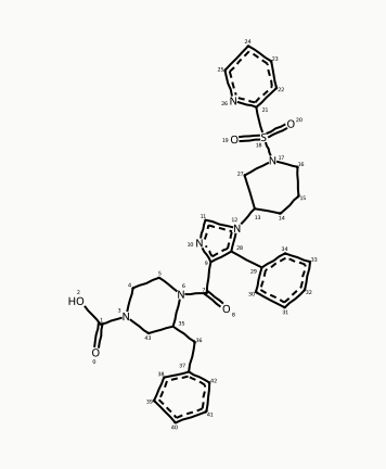 O=C(O)N1CCN(C(=O)c2ncn(C3CCCN(S(=O)(=O)c4ccccn4)C3)c2-c2ccccc2)C(Cc2ccccc2)C1